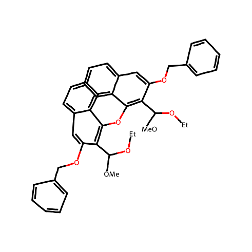 CCOC(OC)c1c(OCc2ccccc2)cc2ccccc2c1Oc1c(C(OC)OCC)c(OCc2ccccc2)cc2ccccc12